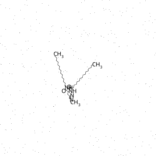 CCCCCCCCCCCCCCCCNC(=O)C(Cc1cn(C)cn1)NC(=O)CCCCCCCCCCCCCCC